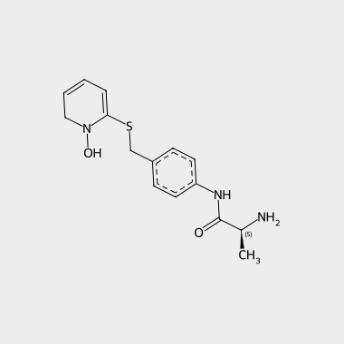 C[C@H](N)C(=O)Nc1ccc(CSC2=CC=CCN2O)cc1